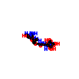 N=C(N)NCCC[C@@H](NC(=O)C(c1ccccc1)c1cccc(OCCCCNC(=O)[C@H](N)CCCCNC(=O)CN2CCN(CC(=O)O)CCN(CC(=O)O)CCN(CC(=O)O)CC2)c1)C(=O)NCc1ccc(O)cc1